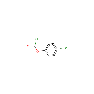 O=C(Cl)Oc1ccc(Br)cc1